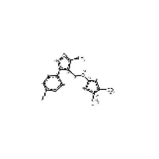 Cc1onc(-c2ccc(F)cc2)c1COc1cc(C(=O)O)n(C)n1